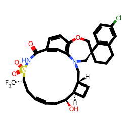 O=C1NS(=O)(=O)[C@@H](C(F)(F)F)C/C=C\C[C@H](O)[C@@H]2CC[C@H]2CN2C[C@@]3(CCCc4cc(Cl)ccc43)COc3ccc1cc32